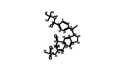 CN(c1ccc(C(=O)OC(C)(C)C)cc1)C1CCc2cc3nc(CS(C)(=O)=O)[nH]c(=O)c3cc21